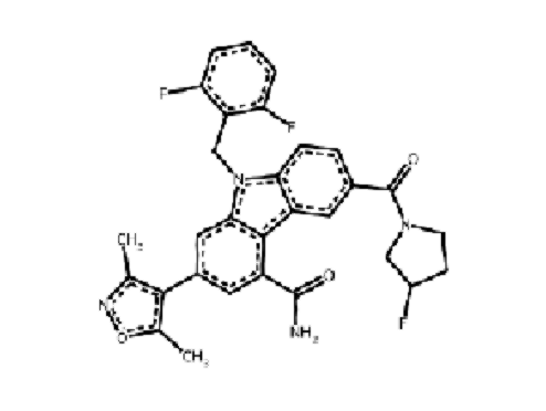 Cc1noc(C)c1-c1cc(C(N)=O)c2c3cc(C(=O)N4CCC(F)C4)ccc3n(Cc3c(F)cccc3F)c2c1